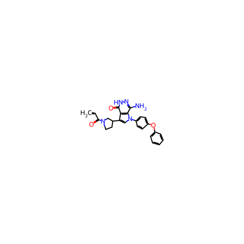 C=CC(=O)N1CCC(c2cn(-c3ccc(Oc4ccccc4)cc3)c3c(N)n[nH]c(=O)c23)C1